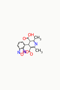 CC1=NC(C)=C(C(=O)O)C(c2cccc3nonc23)C1C(=O)O